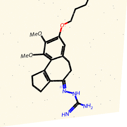 COc1c(OCCCC(=O)O)cc2c(c1OC)C1=C(CCC1)/C(=N/NC(=N)N)CC2